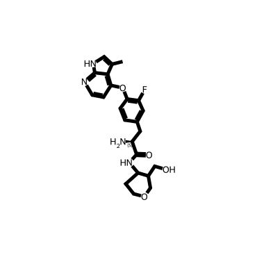 Cc1c[nH]c2nccc(Oc3ccc(C[C@H](N)C(=O)NC4CCOCC4CO)cc3F)c12